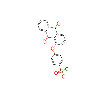 O=C1c2ccccc2C(=O)c2c(Oc3ccc(S(=O)(=O)Cl)cc3)cccc21